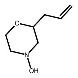 C=CCC1CN(O)CCO1